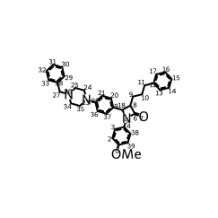 COc1ccc(N2C(=O)C(CCCc3ccccc3)C2c2ccc(N3CCN(Cc4ccccc4)CC3)cc2)cc1